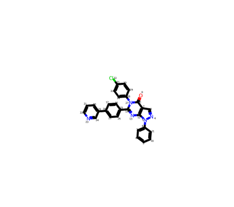 O=c1c2cnn(-c3ccccc3)c2nc(-c2ccc(-c3cccnc3)cc2)n1-c1ccc(Cl)cc1